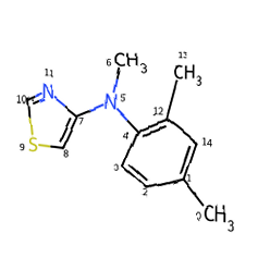 Cc1ccc(N(C)c2cs[c]n2)c(C)c1